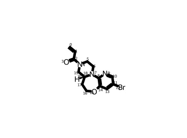 C=CC(=O)N1CCN2c3ncc(Br)cc3OCC[C@@H]2C1